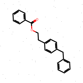 O=C(OCCc1ccc(Cc2[c]cccc2)cc1)c1ccccc1